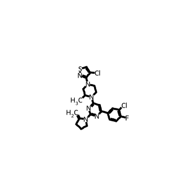 C=C1CCCN1c1nc(-c2ccc(F)c(Cl)c2)cc(N2CCN(c3nscc3Cl)CC2C)n1